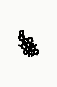 CCc1cccc(C)c1NC(=O)c1c(-c2ccccc2C)n(-c2ccc(Cl)cc2)c(C)cc1=O